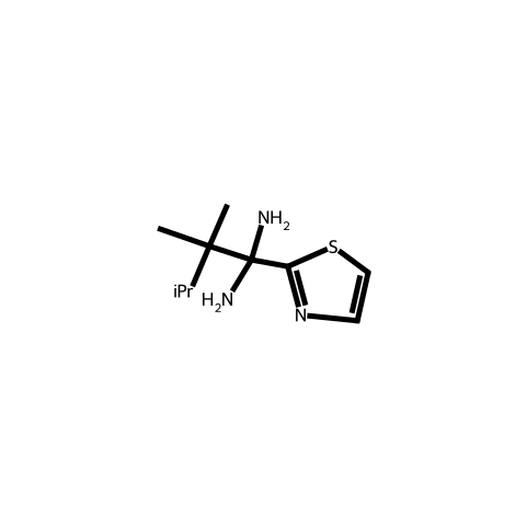 CC(C)C(C)(C)C(N)(N)c1nccs1